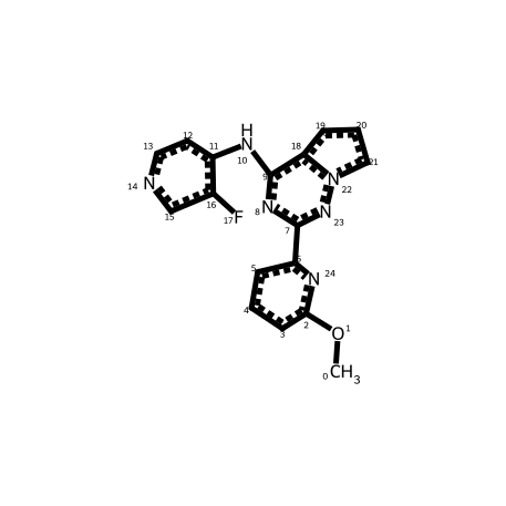 COc1cccc(-c2nc(Nc3ccncc3F)c3cccn3n2)n1